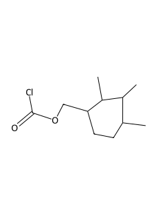 CC1CCC(COC(=O)Cl)C(C)C1C